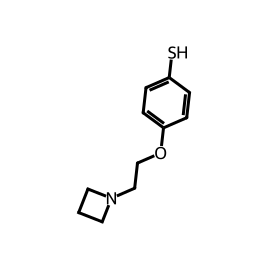 Sc1ccc(OCCN2CCC2)cc1